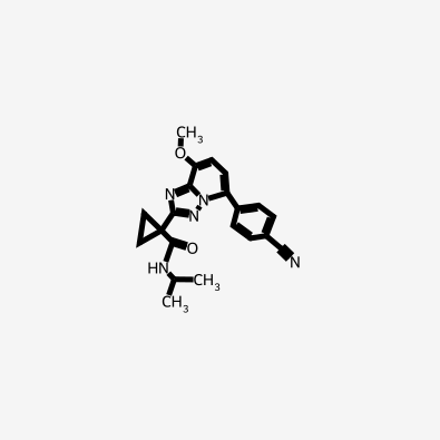 COc1ccc(-c2ccc(C#N)cc2)n2nc(C3(C(=O)NC(C)C)CC3)nc12